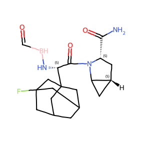 NC(=O)[C@@H]1C[C@@H]2CC2N1C(=O)[C@@H](NBC=O)C12CC3CC(CC(F)(C3)C1)C2